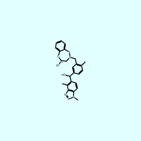 CC[C@@H]1CN(Cc2cc(C(O)c3ccc4c(nnn4C)c3C)ccc2C)Sc2ccccc2O1